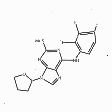 CSc1nc(Nc2ccc(F)c(F)c2F)c2ncn(C3CCCO3)c2n1